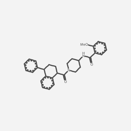 COc1ccccc1C(=O)NC1CCN(C(=O)C2CCC(c3ccccc3)c3ccccc32)CC1